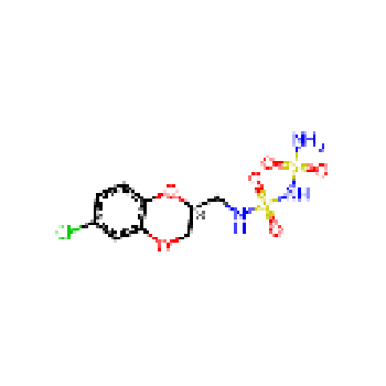 NS(=O)(=O)NS(=O)(=O)NC[C@H]1COc2cc(Cl)ccc2O1